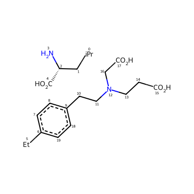 CC(C)C[C@@H](N)C(=O)O.CCc1ccc(CCN(CCC(=O)O)CC(=O)O)cc1